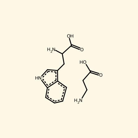 NC(Cc1c[nH]c2ccccc12)C(=O)O.NCCC(=O)O